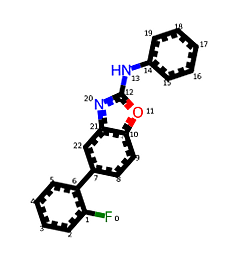 Fc1ccccc1-c1ccc2oc(Nc3ccccc3)nc2c1